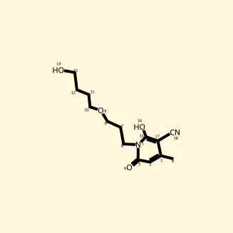 Cc1cc(=O)n(CCCOCCCCO)c(O)c1C#N